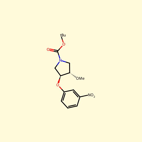 CO[C@H]1CN(C(=O)OC(C)(C)C)C[C@@H]1Oc1cccc([N+](=O)[O-])c1